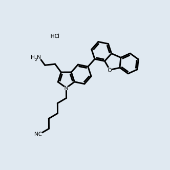 Cl.N#CCCCCCn1cc(CCN)c2cc(-c3cccc4c3oc3ccccc34)ccc21